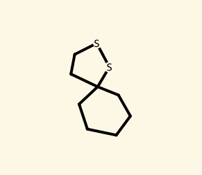 C1CCC2(CC1)CCSS2